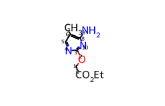 CCOC(=O)COc1ncc(C)c(N)n1